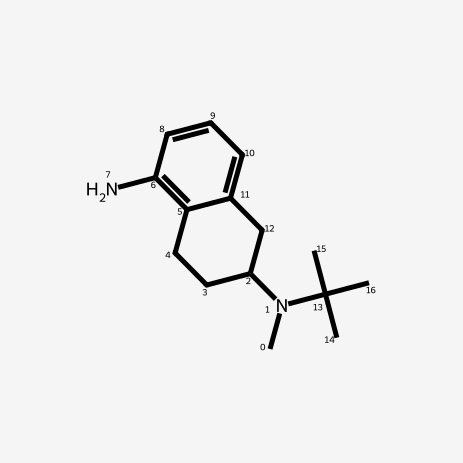 CN(C1CCc2c(N)cccc2C1)C(C)(C)C